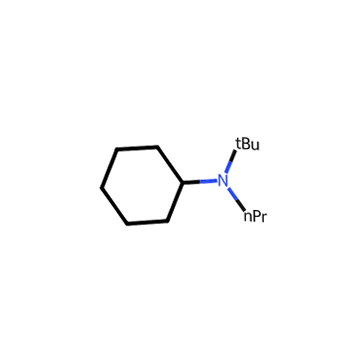 CCCN(C1CCCCC1)C(C)(C)C